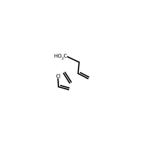 C=C.C=CCC(=O)O.C=CCl